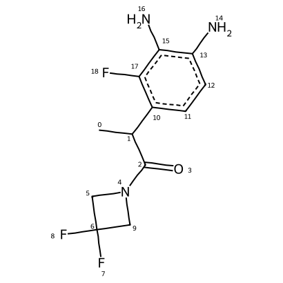 CC(C(=O)N1CC(F)(F)C1)c1ccc(N)c(N)c1F